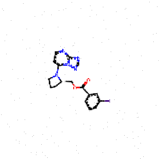 O=C(OC[C@H]1CCCN1c1ccnc2ncnn12)c1cccc(I)c1